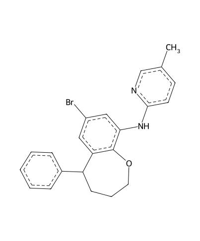 Cc1ccc(Nc2cc(Br)cc3c2OCCCC3c2ccccc2)nc1